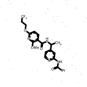 COc1nc(OCCC(F)(F)F)ccc1C(=O)NC(C)c1ccnc(NC(=O)C(C)C)c1